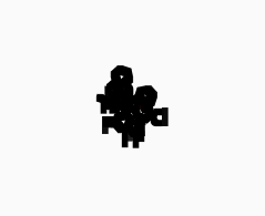 CC(C)N(Cc1ccccc1)C(=O)NC(Cc1ccccc1)(c1cc(F)cc(C(F)(F)F)c1)c1ccc(Cl)cn1